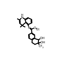 CCOC(=Nc1cccc2c1C(C)(C)C=C(C)N2)c1ccc2c(c1)C(O)C(O)(C(F)(F)F)CC2